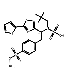 NOS(=O)(=O)c1ccc(C[C@@H](c2csc(-c3cccs3)n2)N(CC(F)(F)F)S(=O)(=O)O)cc1